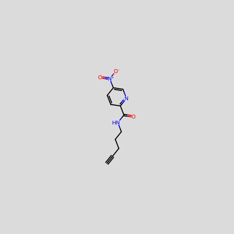 C#CCCCNC(=O)c1ccc([N+](=O)[O-])cn1